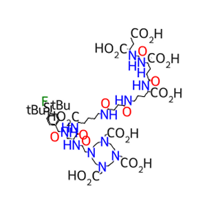 CC(C)(C)[Si](F)(c1ccc(C(=O)NC[C@H](NC(=O)CN2CCN(CC(=O)O)CCN(CC(=O)O)CCN(CC(=O)O)CC2)C(=O)N[C@H](CCCCNC(=O)CCC(=O)NCCC[C@@H](NC(=O)CC[C@H](NC(=O)N[C@@H](CCC(=O)O)C(=O)O)C(=O)O)C(=O)O)C(=O)O)cc1)C(C)(C)C